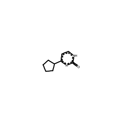 O=c1nc(C2CCCC2)cc[nH]1